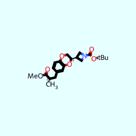 COC(=O)[C@@H](C)Cc1ccc2c(c1)O[C@H](C1CN(C(=O)OC(C)(C)C)C1)CO2